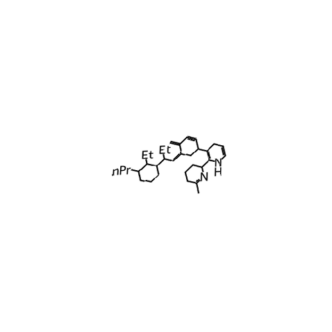 C=C1C=CC(C2=C(C3CCCC(C)=N3)NC=CC2)C/C1=C/C(CC)C1CCCC(CCC)C1CC